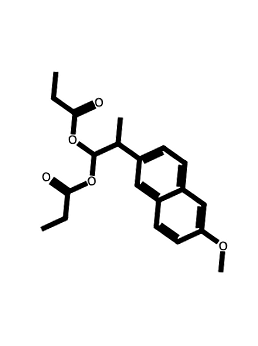 CCC(=O)OC(OC(=O)CC)C(C)c1ccc2cc(OC)ccc2c1